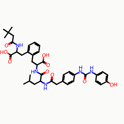 CC(C)CC(NC(=O)Cc1ccc(NC(=O)Nc2ccc(O)cc2)cc1)C(=O)NC(Cc1ccccc1CC(NC(=O)CC(C)(C)C)C(=O)O)C(=O)O